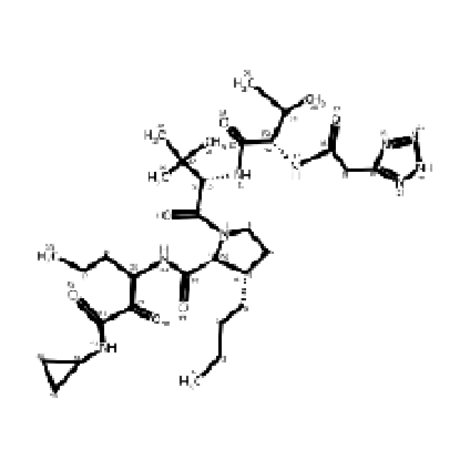 CCCC[C@H]1CCN(C(=O)[C@@H](NC(=O)[C@@H](NC(=O)Cc2nn[nH]n2)C(C)C)C(C)(C)C)[C@@H]1C(=O)NC(CCC)C(=O)C(=O)NC1CC1